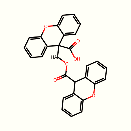 O=C([O][AlH][C]1(C(=O)O)c2ccccc2Oc2ccccc21)C1c2ccccc2Oc2ccccc21